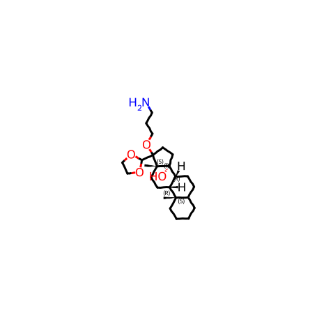 C[C@]12CCCCC1CC[C@@H]1[C@H]2CC[C@]2(C)C(OCCCN)(C3OCCO3)CC[C@@]12O